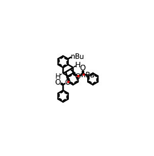 CCCCc1cccc2c1[C@H]1c3c(CCCC)cccc3[C@H]2C(OC(=O)c2ccccc2)C1OC(=O)c1ccccc1